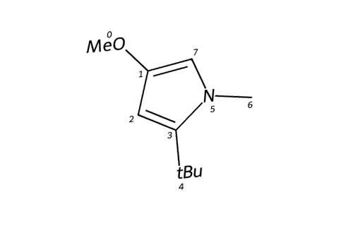 COc1cc(C(C)(C)C)n(C)c1